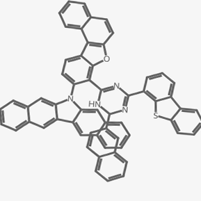 c1ccc2cc(C3N=C(c4cccc5c4sc4ccccc45)N=C(c4c(-n5c6cc7ccccc7cc6c6cc7ccccc7cc65)ccc5c4oc4ccc6ccccc6c45)N3)ccc2c1